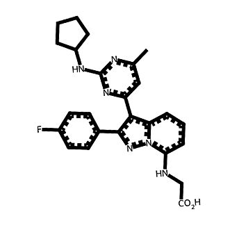 Cc1cc(-c2c(-c3ccc(F)cc3)nn3c(NCC(=O)O)cccc23)nc(NC2CCCC2)n1